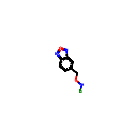 ClNOCc1ccc2nonc2c1